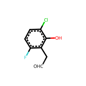 O=CCc1c(F)ccc(Cl)c1O